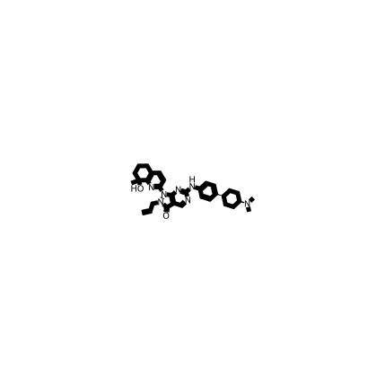 C=CCn1c(=O)c2cnc(Nc3ccc([C@H]4CC[C@@H](N(C)C)CC4)cc3)nc2n1-c1ccc2c(n1)C(C)(O)CCC2